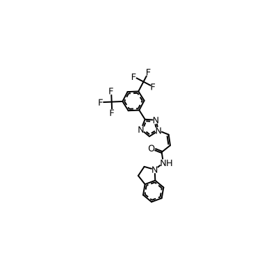 O=C(/C=C\n1cnc(-c2cc(C(F)(F)F)cc(C(F)(F)F)c2)n1)NN1CCc2ccccc21